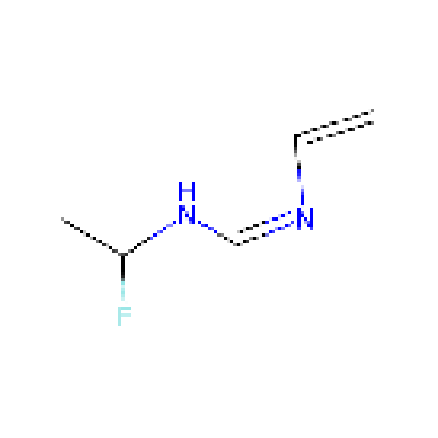 C=C/N=C\NC(C)F